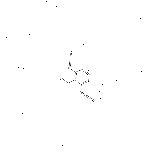 O=C=Nc1cccc(N=C=O)c1CBr